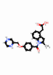 Cc1cc2c(CC(=O)O)cccc2n1C(=O)c1ccc(OCc2cnccn2)cc1